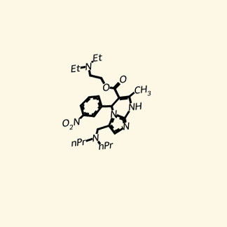 CCCN(CCC)Cc1cnc2n1C(c1cccc([N+](=O)[O-])c1)C(C(=O)OCCN(CC)CC)=C(C)N2